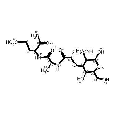 CC(=O)NC1C(O[C@@H](C)C(=O)N[C@@H](C)C(=O)N[C@@H](CCC(=O)O)C(N)=O)[C@H](O)C(CO)O[C@@H]1O